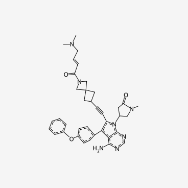 CN(C)C/C=C/C(=O)N1CC2(CC(C#Cc3c(-c4ccc(Oc5ccccc5)cc4)c4c(N)ncnc4n3C3CC(=O)N(C)C3)C2)C1